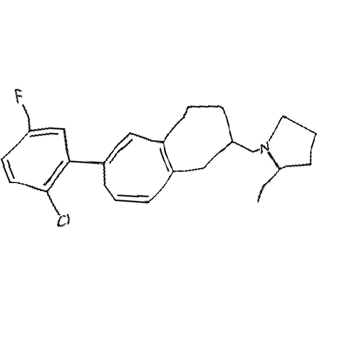 CC1CCCN1C1CCc2cc(-c3cc(F)ccc3Cl)ccc2C1